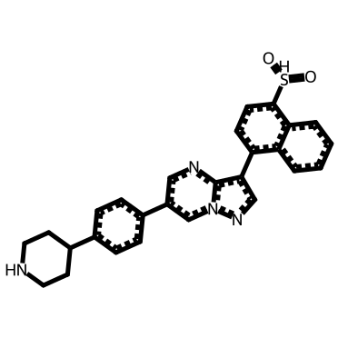 O=[SH](=O)c1ccc(-c2cnn3cc(-c4ccc(C5CCNCC5)cc4)cnc23)c2ccccc12